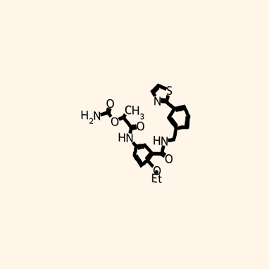 CCOc1ccc(NC(=O)C(C)OC(N)=O)cc1C(=O)NCc1cccc(-c2nccs2)c1